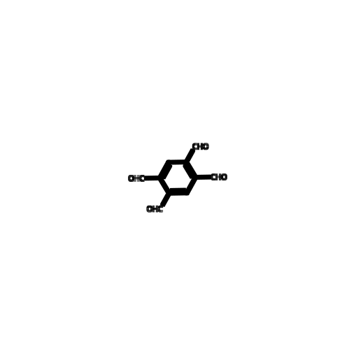 O=Cc1cc(C=O)c(C=O)cc1C=O